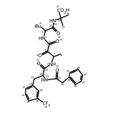 CCC(C)C(NC(=O)C(=O)C(C)NC(=O)C(Cc1cccc(C(F)(F)F)c1)NC(=O)Cc1ccccc1)C(=O)NC(C)(C)C(=O)O